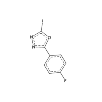 Fc1ccc(-c2nnc(I)o2)cc1